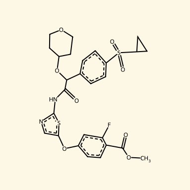 COC(=O)c1ccc(Oc2cnc(NC(=O)C(OC3CCOCC3)c3ccc(S(=O)(=O)C4CC4)cc3)s2)cc1F